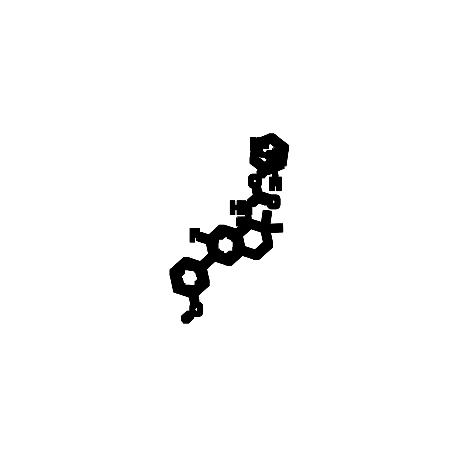 COc1cccc(-c2cc3c(cc2F)[C@H](NC(=O)O[C@H]2CN4CCC2CC4)C(C)(C)CC3)c1